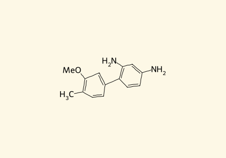 COc1cc(-c2ccc(N)cc2N)ccc1C